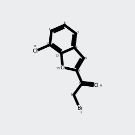 O=C(CBr)c1cc2cccc(Cl)c2o1